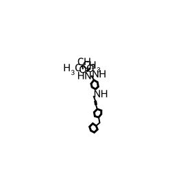 CC(C)(C)OC(=O)NC(=N)c1ccc(NCC#Cc2ccc(Cc3ccccc3)cc2)cc1